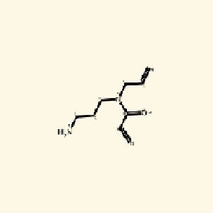 C=CCN(CCCN)C(=O)C=C